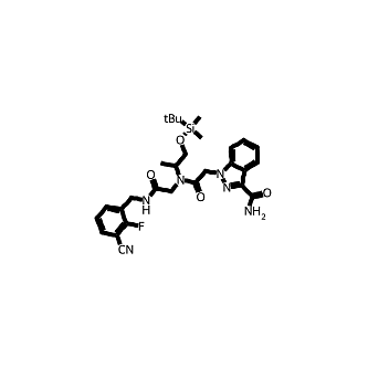 CC(CO[Si](C)(C)C(C)(C)C)N(CC(=O)NCc1cccc(C#N)c1F)C(=O)Cn1nc(C(N)=O)c2ccccc21